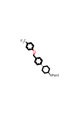 CCCCC[C@H]1CC[C@H](c2ccc(COc3ccc(C(F)(F)F)cc3)cc2)CC1